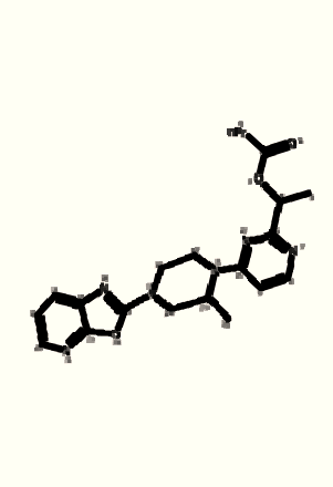 CCCC(=O)OC(C)c1nccc(N2CCN(c3nc4cccnc4o3)CC2C)n1